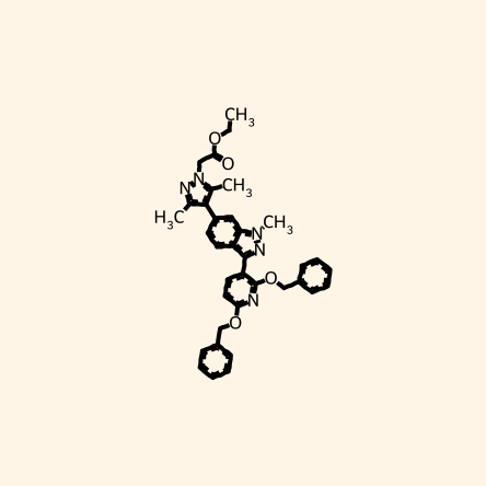 CCOC(=O)Cn1nc(C)c(-c2ccc3c(-c4ccc(OCc5ccccc5)nc4OCc4ccccc4)nn(C)c3c2)c1C